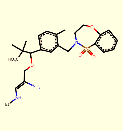 CCN/C=C(\N)COC(c1ccc(C)c(CN2CCOc3ccccc3S2(=O)=O)c1)C(C)(C)C(=O)O